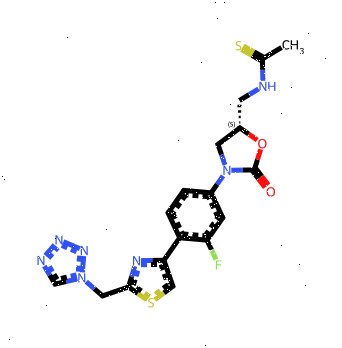 CC(=S)NC[C@H]1CN(c2ccc(-c3csc(Cn4cnnn4)n3)c(F)c2)C(=O)O1